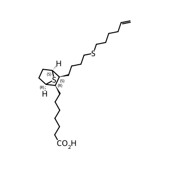 C=CCCCCSCCCC[C@H]1[C@@H](CCCCCCC(=O)O)[C@H]2CC[C@@H]1S2